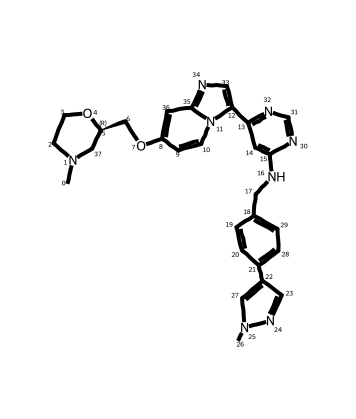 CN1CCO[C@@H](COc2ccn3c(-c4cc(NCc5ccc(-c6cnn(C)c6)cc5)ncn4)cnc3c2)C1